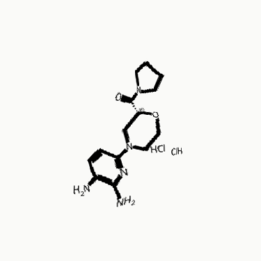 Cl.Cl.Nc1ccc(N2CCO[C@@H](C(=O)N3CCCC3)C2)nc1N